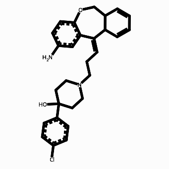 Nc1ccc2c(c1)C(=CCCN1CCC(O)(c3ccc(Cl)cc3)CC1)C1C=CC=CC1CO2